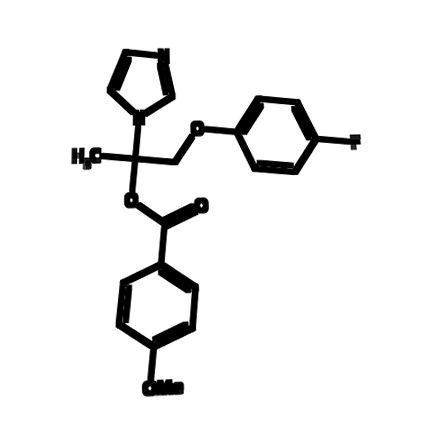 COc1ccc(C(=O)OC(C)(COc2ccc(F)cc2)n2ccnc2)cc1